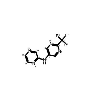 FC(F)(F)c1ncc(Nc2cnccn2)cn1